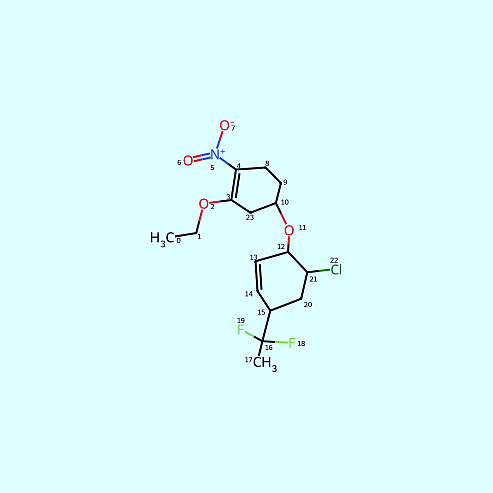 CCOC1=C([N+](=O)[O-])CCC(OC2C=CC(C(C)(F)F)CC2Cl)C1